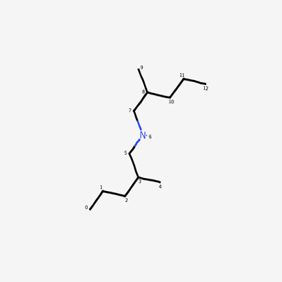 CCCC(C)C[N]CC(C)CCC